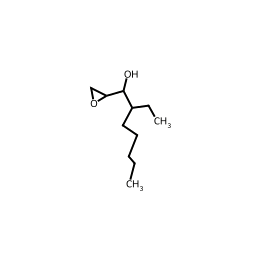 CCCCCC(CC)C(O)C1CO1